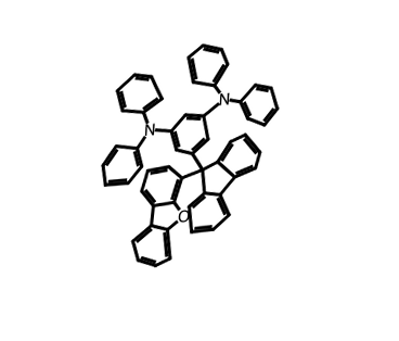 c1ccc(N(c2ccccc2)c2cc(N(c3ccccc3)c3ccccc3)cc(C3(c4cccc5c4oc4ccccc45)c4ccccc4-c4ccccc43)c2)cc1